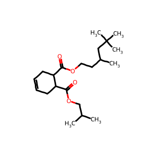 CC(C)COC(=O)C1CC=CCC1C(=O)OCCC(C)CC(C)(C)C